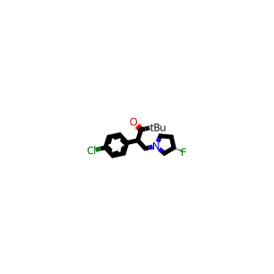 CC(C)(C)C(=O)C(CN1CC[C@H](F)C1)c1ccc(Cl)cc1